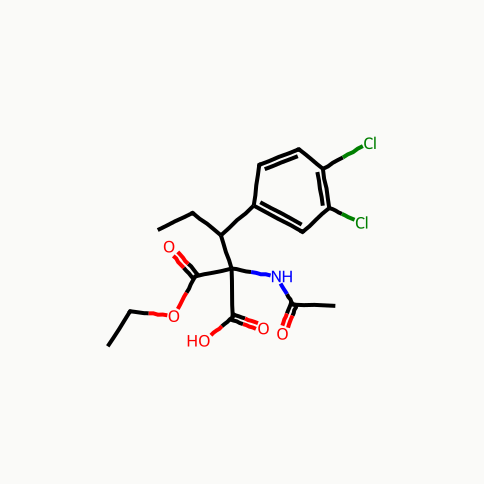 CCOC(=O)C(NC(C)=O)(C(=O)O)C(CC)c1ccc(Cl)c(Cl)c1